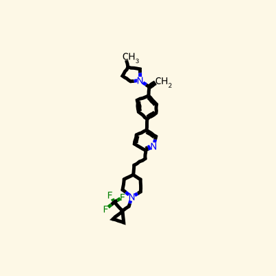 C=C(c1ccc(-c2ccc(CCC3CCN(CC4(C(F)(F)F)CC4)CC3)nc2)cc1)N1CCC(C)C1